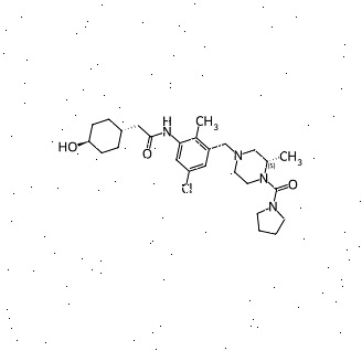 Cc1c(CN2CCN(C(=O)N3CCCC3)[C@@H](C)C2)cc(Cl)cc1NC(=O)C[C@H]1CC[C@H](O)CC1